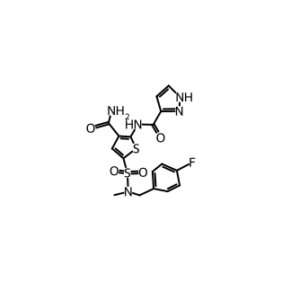 CN(Cc1ccc(F)cc1)S(=O)(=O)c1cc(C(N)=O)c(NC(=O)c2cc[nH]n2)s1